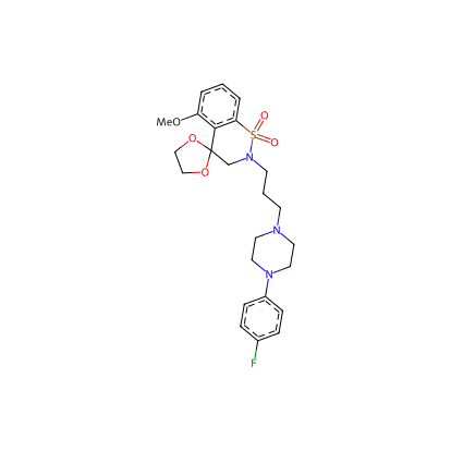 COc1cccc2c1C1(CN(CCCN3CCN(c4ccc(F)cc4)CC3)S2(=O)=O)OCCO1